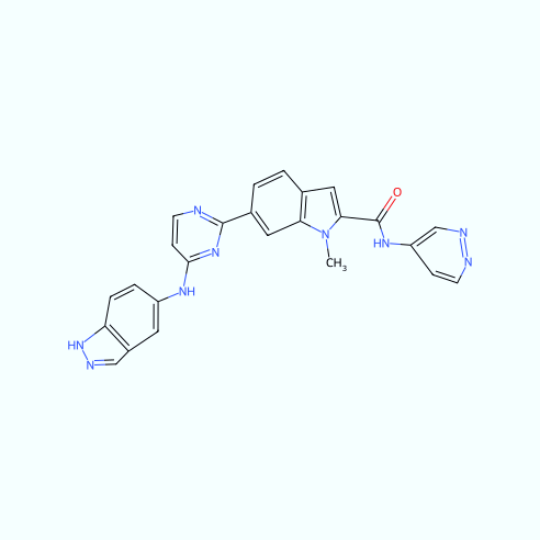 Cn1c(C(=O)Nc2ccnnc2)cc2ccc(-c3nccc(Nc4ccc5[nH]ncc5c4)n3)cc21